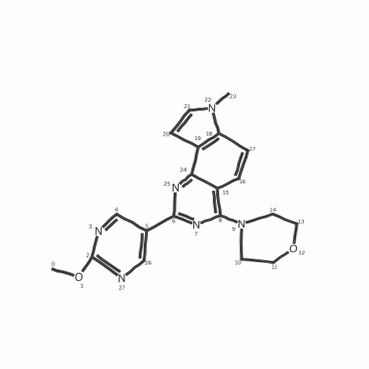 COc1ncc(-c2nc(N3CCOCC3)c3ccc4c(ccn4C)c3n2)cn1